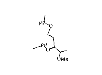 COC(C)C(CCOPC)OPC